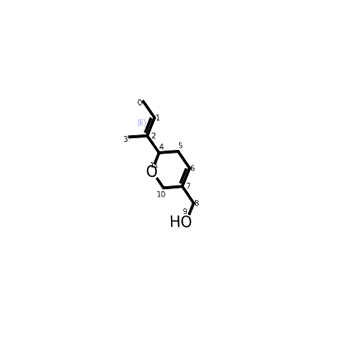 C/C=C(\C)C1CC=C(CO)CO1